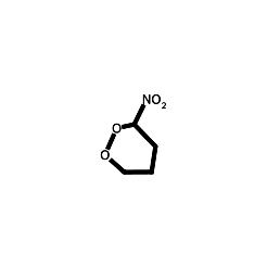 O=[N+]([O-])C1CCCOO1